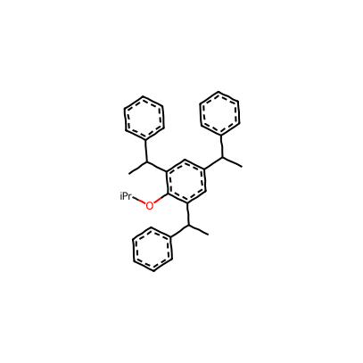 CC(C)Oc1c(C(C)c2ccccc2)cc(C(C)c2ccccc2)cc1C(C)c1ccccc1